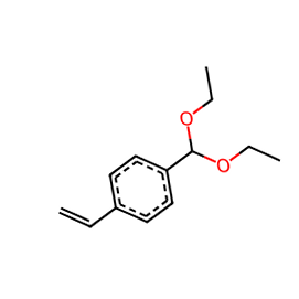 C=Cc1ccc(C(OCC)OCC)cc1